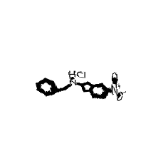 CN(Cc1ccccc1)C1Cc2ccc([N+](=O)[O-])cc2C1.Cl